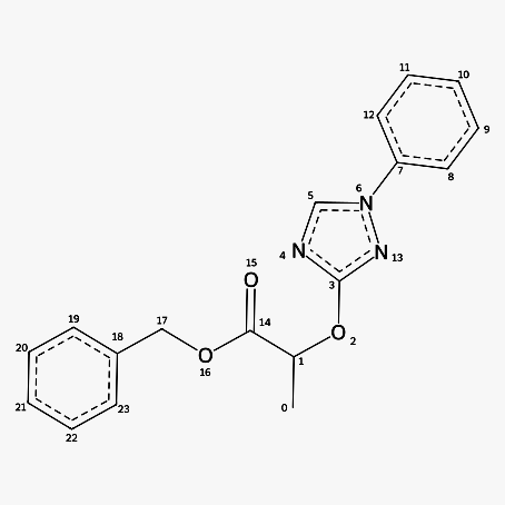 CC(Oc1ncn(-c2ccccc2)n1)C(=O)OCc1ccccc1